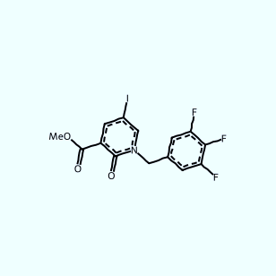 COC(=O)c1cc(I)cn(Cc2cc(F)c(F)c(F)c2)c1=O